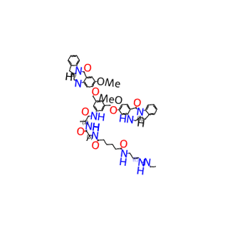 CC=NN/C=C/CNC(=O)CCCCC(=O)N[C@@H](C)C(=O)N[C@@H](C)C(=O)Nc1cc(COc2cc3c(cc2OC)C(=O)N2c4ccccc4C[C@H]2C=N3)cc(COc2cc3c(cc2OC)C(=O)N2c4ccccc4C[C@H]2CN3)c1